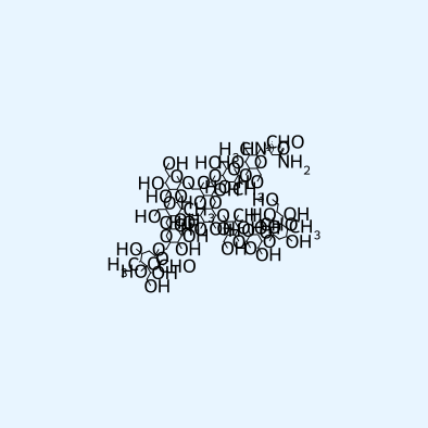 CC1C(N[C@H](C=O)CC(N)=O)OC(CO)C(OC2OC(CO)C(OC3OC(COC4OC(CO)C(O)C(O)C4OC4OC(CO)C(OC5OC(COC6(OC=O)CC(O)C(C)C(O)(C(O)CO)O6)C(O)C(O)C5O)C(O)C4C)C(O)C(OC4CC(CO)C(O)C(O)C4OC4OC(CO)C(OC5OC(O)C(OC6(OC=O)CC(O)C(C)C(C(O)C(O)CO)O6)C(O)C5O)C(O)C4C)C3O)C(O)C2C)C1O